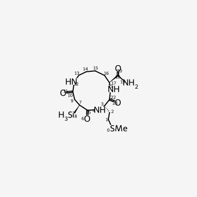 CSCC[C@@H]1NC(=O)[C@@H]([SiH3])CC(=O)NCCCC[C@@H](C(N)=O)NC1=O